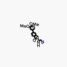 C/N=C\C(=N)N1Cc2cc(-c3cnc(OC)c(OC)c3)ccc2C1=O